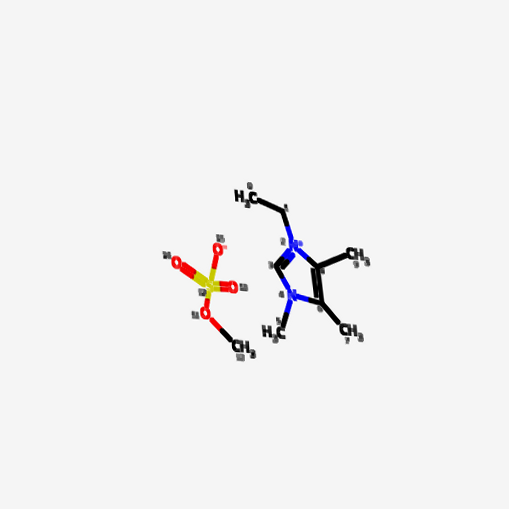 CC[n+]1cn(C)c(C)c1C.COS(=O)(=O)[O-]